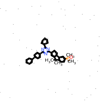 CC1(C)c2ccc(P(C)(C)=O)cc2-c2ccc(-c3nc(-c4ccccc4)nc(-c4ccc(-c5ccccc5)cc4)n3)cc21